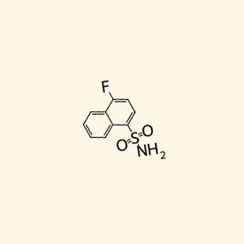 NS(=O)(=O)c1ccc(F)c2ccccc12